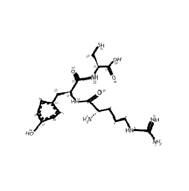 N=C(N)NCCC[C@H](N)C(=O)N[C@@H](Cc1ccc(O)cc1)C(=O)N[C@@H](CS)C(=O)O